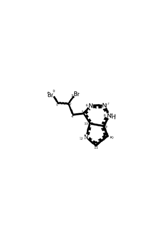 BrCC(Br)Cc1nn[nH]c2ccnc1-2